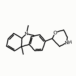 CN(C)C1C=CC=CC1(C)c1ccc(C2CNCCO2)cc1